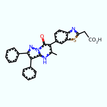 Cc1[nH]c2c(-c3ccccc3)c(-c3ccccc3)nn2c(=O)c1-c1ccc2nc(CC(=O)O)sc2c1